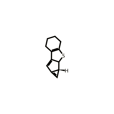 C1=C2C3=C(CCCC3)SC2[C@@H]2C=C12